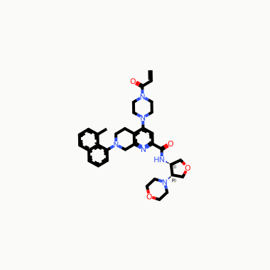 C=CC(=O)N1CCN(c2cc(C(=O)N[C@@H]3COC[C@@H]3N3CCOCC3)nc3c2CCN(c2cccc4cccc(C)c24)C3)CC1